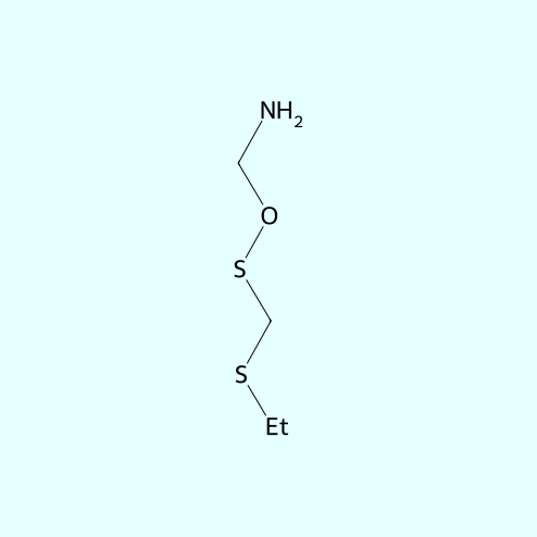 CCSCSOCN